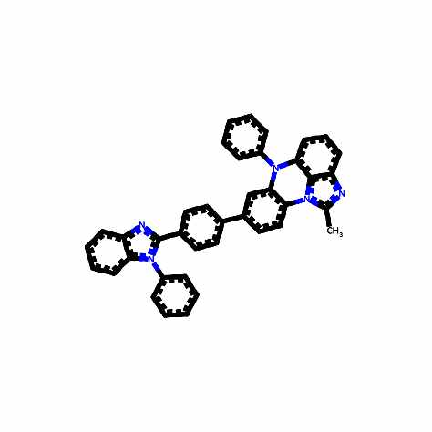 Cc1nc2cccc3c2n1-c1ccc(-c2ccc(-c4nc5ccccc5n4-c4ccccc4)cc2)cc1N3c1ccccc1